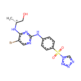 C[C@H](CO)Nc1nc(Nc2ccc(S(=O)(=O)n3cnnn3)cc2)ncc1Br